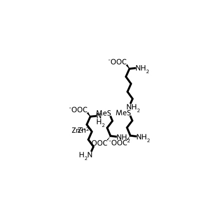 CSCC[C@H](N)C(=O)[O-].CSCC[C@H](N)C(=O)[O-].NCCCC[C@H](N)C(=O)[O-].NCCCC[C@H](N)C(=O)[O-].[Zn+2].[Zn+2]